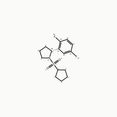 O=S(=O)(C1CCCC1)N1[CH]CC[C@@H]1c1cc(F)ccc1F